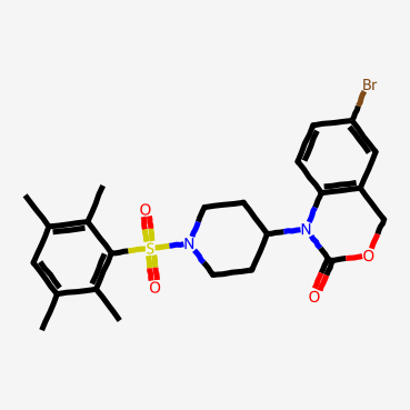 Cc1cc(C)c(C)c(S(=O)(=O)N2CCC(N3C(=O)OCc4cc(Br)ccc43)CC2)c1C